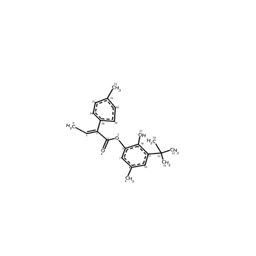 CC=C(C(=O)Oc1cc(C)cc(C(C)(C)C)c1O)c1ccc(C)cc1